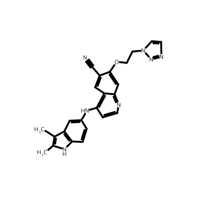 Cc1[nH]c2ccc(Nc3ccnc4cc(OCCn5ccnn5)c(C#N)cc34)cc2c1C